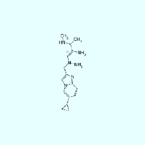 CNC(C)/C(N)=C/N(N)Cc1cn2cc(C3CC3)ccc2n1